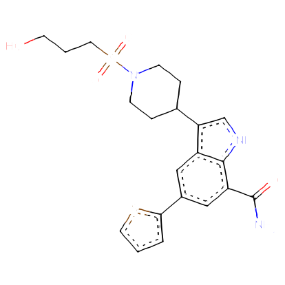 NC(=O)c1cc(-c2cccs2)cc2c(C3CCN(S(=O)(=O)CCCO)CC3)c[nH]c12